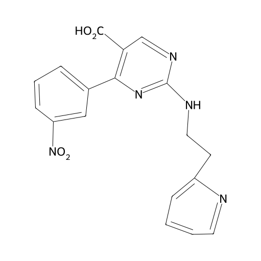 O=C(O)c1cnc(NCCc2ccccn2)nc1-c1cccc([N+](=O)[O-])c1